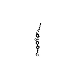 C=CCCCCCCOc1ccc(OC(=O)c2ccc(-c3ccc(OCCC[C@@H](C)CC)cc3)cc2)cc1